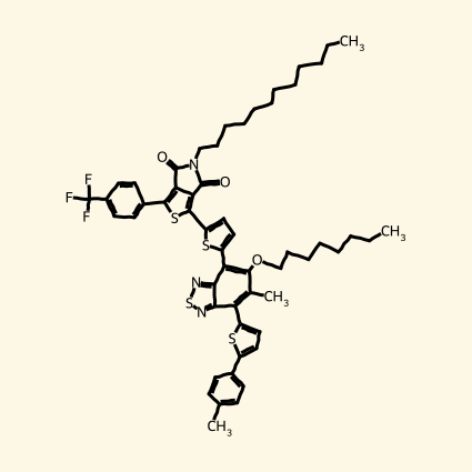 CCCCCCCCCCCCN1C(=O)c2c(-c3ccc(C(F)(F)F)cc3)sc(-c3ccc(-c4c(OCCCCCCCC)c(C)c(-c5ccc(-c6ccc(C)cc6)s5)c5nsnc45)s3)c2C1=O